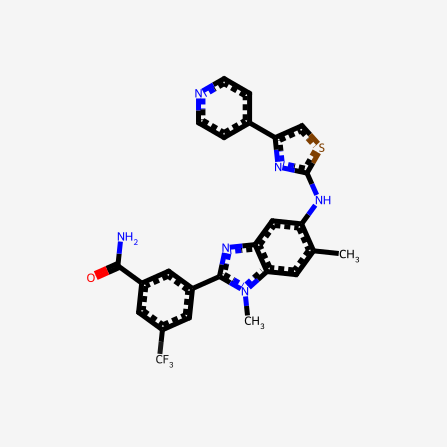 Cc1cc2c(cc1Nc1nc(-c3ccncc3)cs1)nc(-c1cc(C(N)=O)cc(C(F)(F)F)c1)n2C